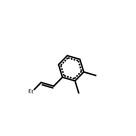 [CH2]CC=Cc1cccc(C)c1C